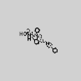 CC(NC(=O)O)c1nc2cccc(OCCN3CCN(c4ccccc4)CC3)c2c(=O)n1-c1ccccc1